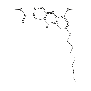 CCCCCCCCOc1cc(SC)c2oc3ccc(C(=O)OC)cc3c(=O)c2c1